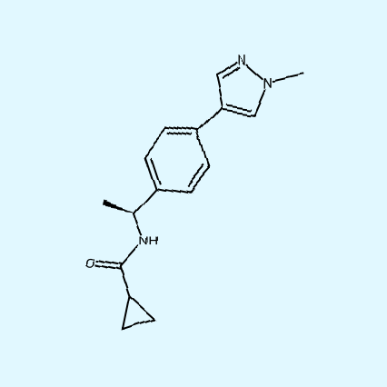 C[C@H](NC(=O)C1CC1)c1ccc(-c2cnn(C)c2)cc1